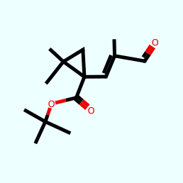 C/C(C=O)=C\C1(C(=O)OC(C)(C)C)CC1(C)C